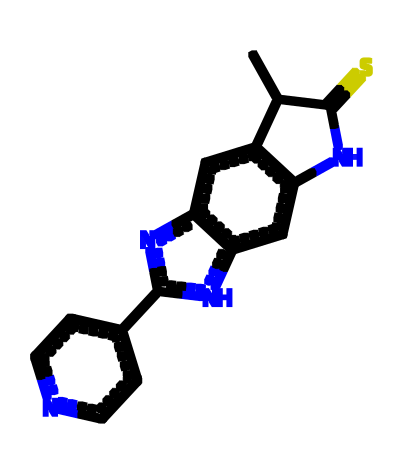 CC1C(=S)Nc2cc3[nH]c(-c4ccncc4)nc3cc21